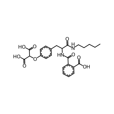 CCCCCNC(=O)C(Cc1ccc(OC(C(=O)O)C(=O)O)cc1)NC(=O)c1ccccc1C(=O)O